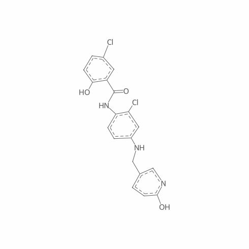 O=C(Nc1ccc(NCc2ccc(O)nc2)cc1Cl)c1cc(Cl)ccc1O